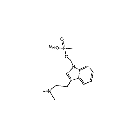 COP(C)(=O)OCn1cc(CCN(C)C)c2ccccc21